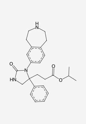 CC(C)OC(=O)CCC1(c2ccccc2)CNC(=O)N1c1ccc2c(c1)CCNCC2